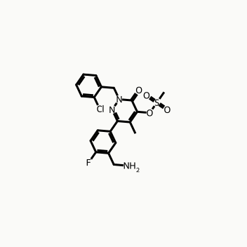 Cc1c(-c2ccc(F)c(CN)c2)nn(Cc2ccccc2Cl)c(=O)c1OS(C)(=O)=O